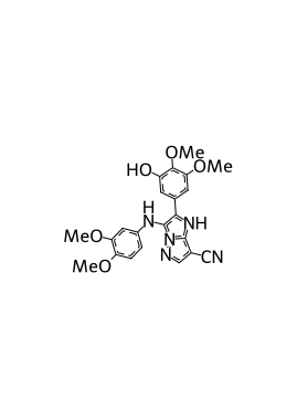 COc1ccc(Nc2c(-c3cc(O)c(OC)c(OC)c3)[nH]c3c(C#N)cnn23)cc1OC